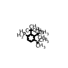 CN(C)c1ccc(P)c(C(C)(C)C)c1C(C)(C)C